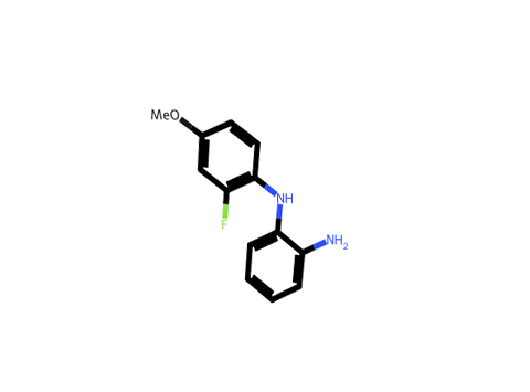 COc1ccc(Nc2ccccc2N)c(F)c1